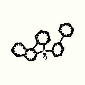 O=P1(c2cccc(-c3ccccc3)c2)c2ccccc2-c2c1ccc1ccccc21